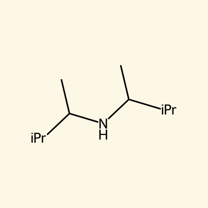 CC(C)C(C)NC(C)C(C)C